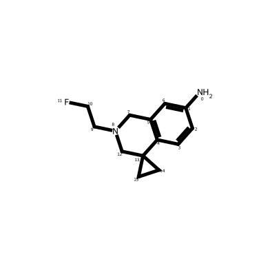 Nc1ccc2c(c1)CN(CCF)CC21CC1